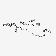 CCCCCCCC/C=C\CCCCCCCC(=O)OS(=O)(=O)O.OCC(O)CO